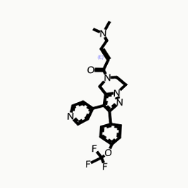 CN(C)C/C=C/C(=O)N1CCn2nc(-c3ccc(OC(F)(F)F)cc3)c(-c3ccncc3)c2C1